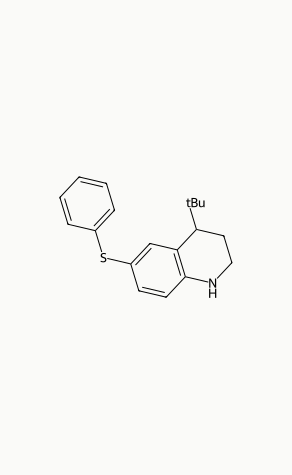 CC(C)(C)C1CCNc2ccc(Sc3ccccc3)cc21